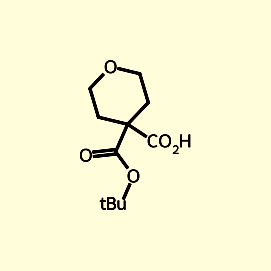 CC(C)(C)OC(=O)C1(C(=O)O)CCOCC1